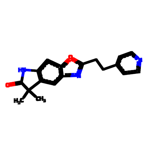 CC1(C)C(=O)Nc2cc3oc(CCc4ccncc4)nc3cc21